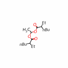 CCCCC(CC)C(=O)O[C](C)OC(=O)C(CC)CCCC